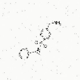 NCc1ccc(S(=O)(=O)N2CC2c2ccccc2)cc1